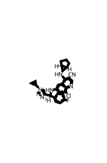 [2H][C@](Nc1cc(Cl)c2ncc(C#N)c(NC3[C@H]4CCC[C@@H]34)c2c1)(c1ccc(F)cc1)c1cn(C2CC2)nn1